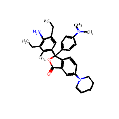 CCc1cc(C2(c3ccc(N(C)C)cc3)OC(=O)c3cc(N4CCCCC4)ccc32)c(C)c(CC)c1N